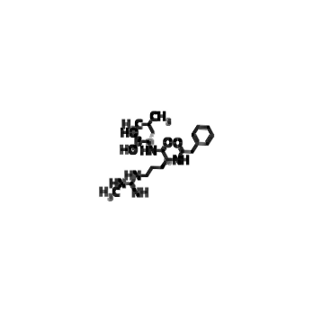 CNC(=N)NCCC[C@H](NC(=O)Cc1ccccc1)C(=O)N[C@@H](CC(C)C)B(O)O